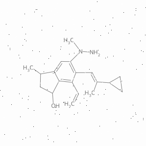 C=Cc1c(/C=C(\C)C2CC2)c(N(C)N)cc2c1C(O)CC2C